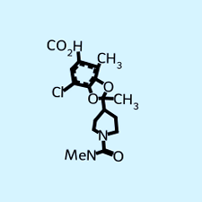 CNC(=O)N1CCC(C2(C)Oc3c(Cl)cc(C(=O)O)c(C)c3O2)CC1